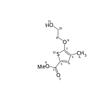 COC(=O)c1cc(C)c(OCCO)s1